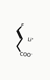 O=C([O-])CC=CF.[Li+]